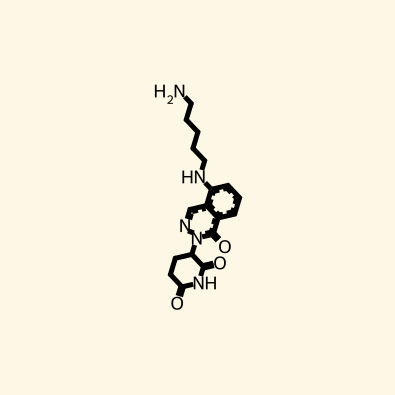 NCCCCCNc1cccc2c(=O)n(C3CCC(=O)NC3=O)ncc12